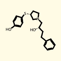 Oc1ccc(S[C@@H]2CCN(C[C@@H](O)CCc3ccccc3)C2)cc1